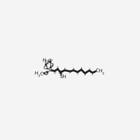 CCCCCCCCCC(S)CC[Si](OC)(OC)OC